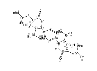 CCCCC(CC)COC(=O)C=C(c1ccc(C(=CC(=O)OCC(CC)CCCC)C(C(=O)O)C(CC)CCCC)cc1)C(C(=O)O)C(CC)CCCC